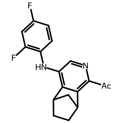 CC(=O)c1ncc(Nc2ccc(F)cc2F)c2c1C1CCC2C1